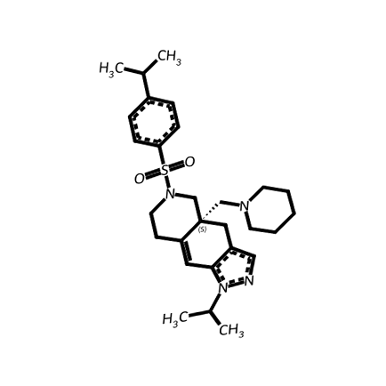 CC(C)c1ccc(S(=O)(=O)N2CCC3=Cc4c(cnn4C(C)C)C[C@]3(CN3CCCCC3)C2)cc1